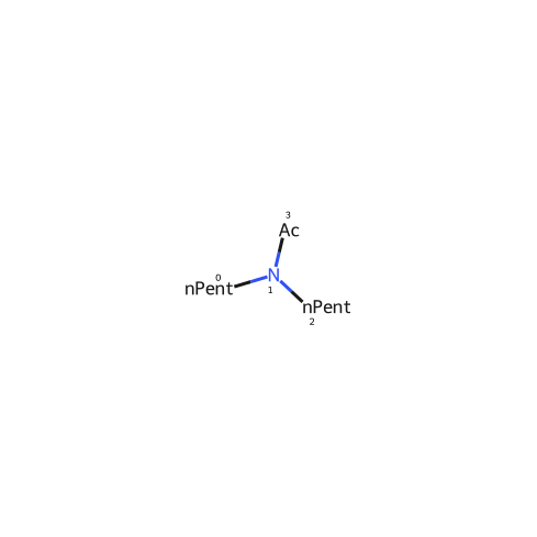 CCCCCN(CCCCC)C(C)=O